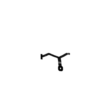 [CH2]C(=O)CI